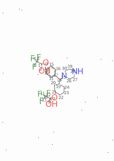 O=C(O)C(F)(F)F.O=C(O)C(F)(F)F.c1ccc(C(C2CCCCC2)N2CCNCC2)cc1